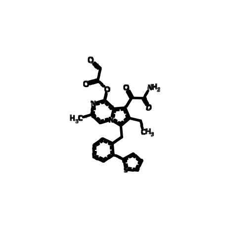 CCc1c(C(=O)C(N)=O)c2c(OC(=O)C=O)nc(C)cn2c1Cc1ccccc1-c1cccs1